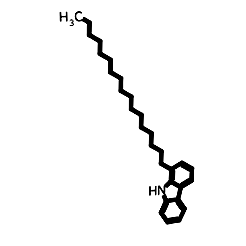 CCCCCCCCCCCCCCCCCc1cccc2c1[nH]c1ccccc12